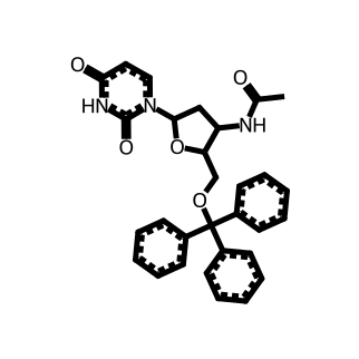 CC(=O)NC1CC(n2ccc(=O)[nH]c2=O)OC1COC(c1ccccc1)(c1ccccc1)c1ccccc1